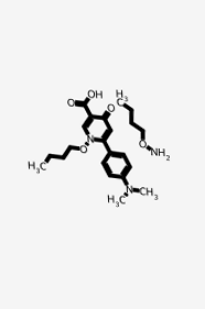 CCCCON.CCCCOn1cc(C(=O)O)c(=O)cc1-c1ccc(N(C)C)cc1